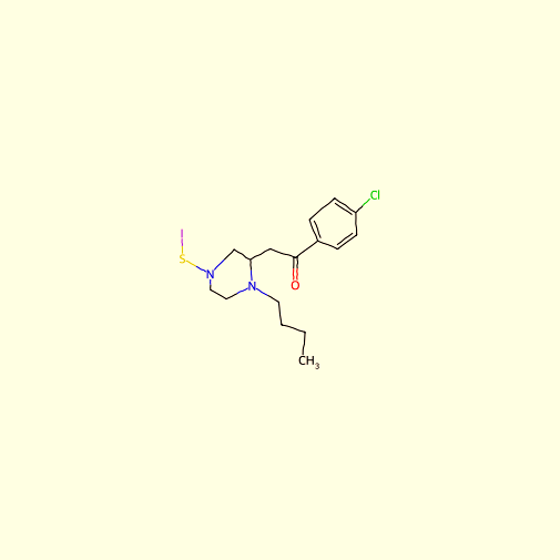 CCCCN1CCN(SI)CC1CC(=O)c1ccc(Cl)cc1